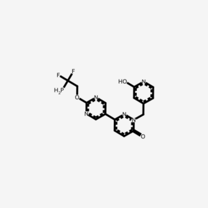 O=c1ccc(-c2cnc(OCC(F)(F)P)nc2)nn1Cc1ccnc(O)c1